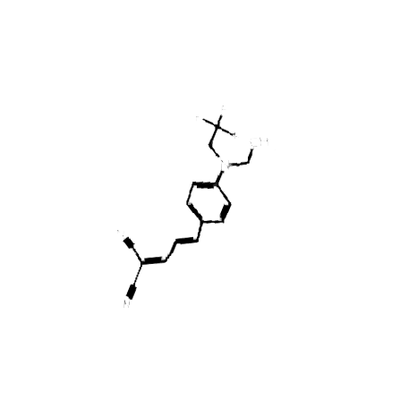 CCN(CC(F)(F)F)c1ccc(/C=C/C=C(C#N)C#N)cc1